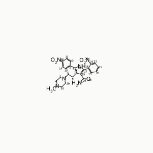 CN1CCN(CCc2c(-c3ccc([N+](=O)[O-])cc3)[nH]c(-c3ccccc3[N+](=O)[O-])c2C(N)=O)CC1